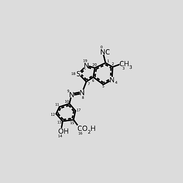 [C-]#[N+]c1c(C)ncc2c(/N=N/c3ccc(O)c(C(=O)O)c3)snc12